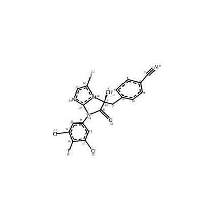 C[C@@]1(Cc2ccc(C#N)cc2)C(=O)N(c2cc(Cl)c(F)c(Cl)c2)c2ncc(I)n21